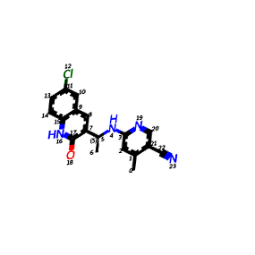 Cc1cc(N[C@@H](C)c2cc3cc(Cl)ccc3[nH]c2=O)ncc1C#N